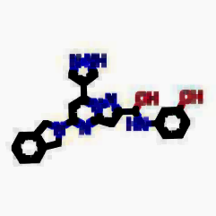 Oc1cccc(NC(O)c2cc3nc(N4Cc5ccccc5C4)cc(-c4cn[nH]c4)n3n2)c1